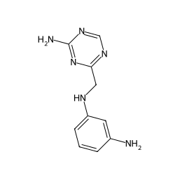 Nc1cccc(NCc2ncnc(N)n2)c1